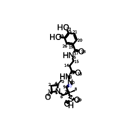 C[C@@H]1CC(=O)N1C[C@](C)(/C=N/NC(=O)CCNC(=O)c1ccc(O)c(O)c1)[SH](=O)=O